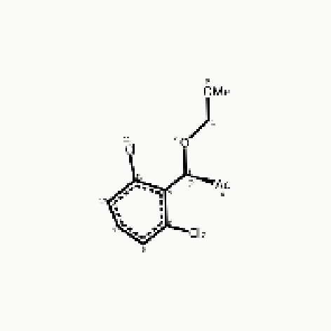 COCO[C@@H](C(C)=O)c1c(Cl)cccc1Cl